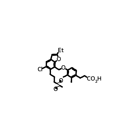 CCc1cc2cc(Cl)c(CCCS(C)(=O)=O)c(COc3ccc(CCC(=O)O)c(C)c3C)c2o1